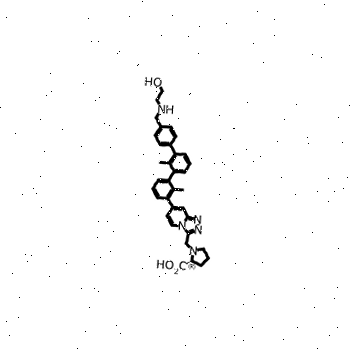 Cc1c(-c2ccc(CNCCO)cc2)cccc1-c1cccc(-c2ccn3c(CN4CCC[C@@H]4C(=O)O)nnc3c2)c1C